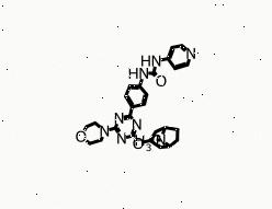 CN1C2CCC1CC(Oc1nc(-c3ccc(NC(=O)Nc4ccncc4)cc3)nc(N3CCOCC3)n1)C2